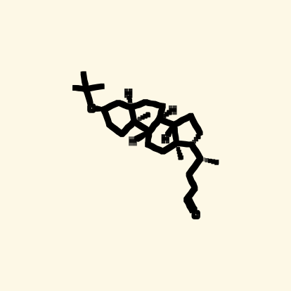 C[C@H](CCC=O)[C@H]1CC[C@H]2[C@@H]3CC[C@@H]4C[C@H](OC(C)(C)C)CC[C@]4(C)[C@H]3CC[C@]12C